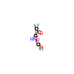 CCOc1ccc(CC(=O)Nc2ccc(OC3(c4ccc(F)c(F)c4)CCOCC3)cc2)cc1